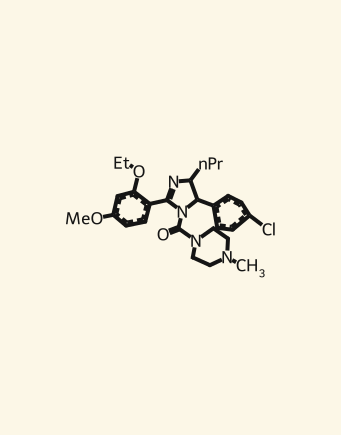 CCCC1N=C(c2ccc(OC)cc2OCC)N(C(=O)N2CCN(C)CC2)C1c1ccc(Cl)cc1